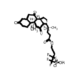 C[C@H](CCC(=O)OCCC(F)(F)C(F)(F)S(=O)(=O)O)[C@H]1CC[C@H]2[C@@H]3C(=O)CC4CC(=O)CC[C@]4(C)[C@@H]3CC(=O)[C@]12C